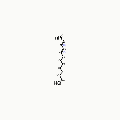 CCC/C=C/C=C/CCCCCCCO